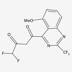 COc1cccc2nc(C(F)(F)F)nc(C(=O)CC(=O)C(F)F)c12